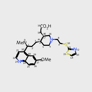 CNC(CC[C@@H]1CCN(CCSc2nccs2)C[C@@H]1CC(=O)O)c1ccnc2ccc(OC)cc12